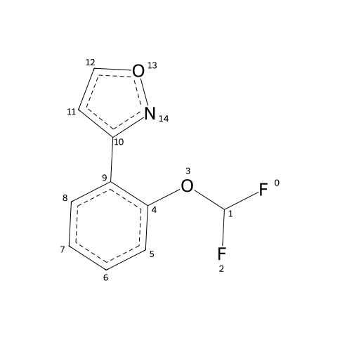 FC(F)Oc1ccccc1-c1ccon1